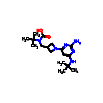 CC(C)(C)Nc1cc(N2CC(CN(C(=O)O)C(C)(C)C)C2)nc(N)n1